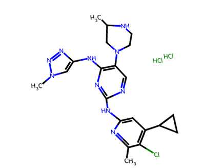 Cc1nc(Nc2ncc(N3CCNC(C)C3)c(Nc3cn(C)nn3)n2)cc(C2CC2)c1Cl.Cl.Cl